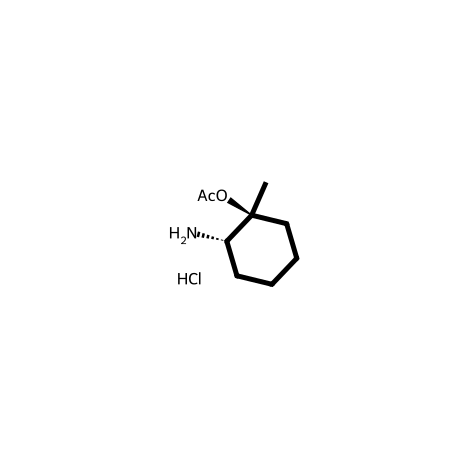 CC(=O)O[C@@]1(C)CCCC[C@@H]1N.Cl